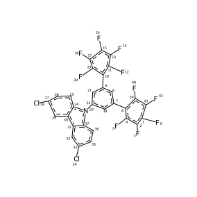 Fc1c(F)c(F)c(-c2cc(-c3c(F)c(F)c(F)c(F)c3F)cc(-n3c4ccc(Cl)cc4c4cc(Cl)ccc43)c2)c(F)c1F